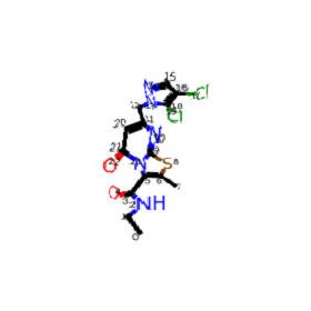 CCNC(=O)c1c(C)sc2nc(Cn3ncc(Cl)c3Cl)cc(=O)n12